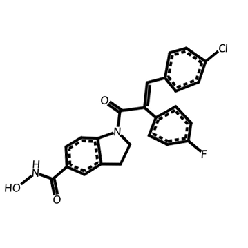 O=C(NO)c1ccc2c(c1)CCN2C(=O)/C(=C/c1ccc(Cl)cc1)c1ccc(F)cc1